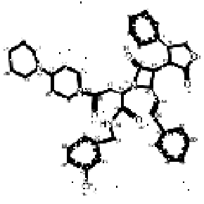 O=C1OC[C@H](c2ccccc2)C1C1C(=O)N([C@H](CC(=O)N2CCC(N3CCCCC3)CC2)C(=O)NCc2cccc(C(F)(F)F)c2)[C@@H]1/C=C/c1ccccc1